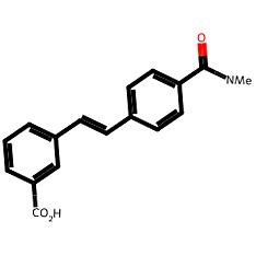 CNC(=O)c1ccc(C=Cc2cccc(C(=O)O)c2)cc1